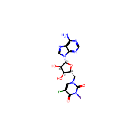 Nc1ncnc2c1ncn2[C@@H]1O[C@H](Cn2cc(F)c(=O)n(I)c2=O)[C@@H](O)[C@H]1O